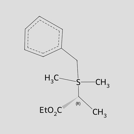 CCOC(=O)[C@@H](C)S(C)(C)Cc1ccccc1